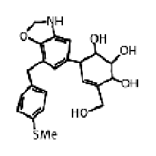 CSc1ccc(Cc2cc(C3C=C(CO)C(O)C(O)C3O)cc3c2OCN3)cc1